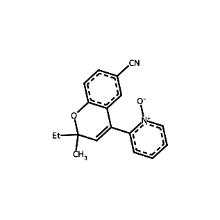 CCC1(C)C=C(c2cccc[n+]2[O-])c2cc(C#N)ccc2O1